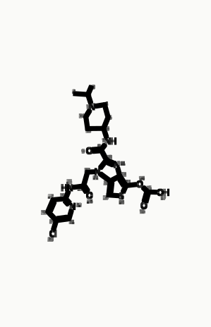 CC(C)N1CCC(NC(=O)c2nc3c(OC(=O)O)scc3n2CC(=O)Nc2ccc(Cl)cn2)CC1